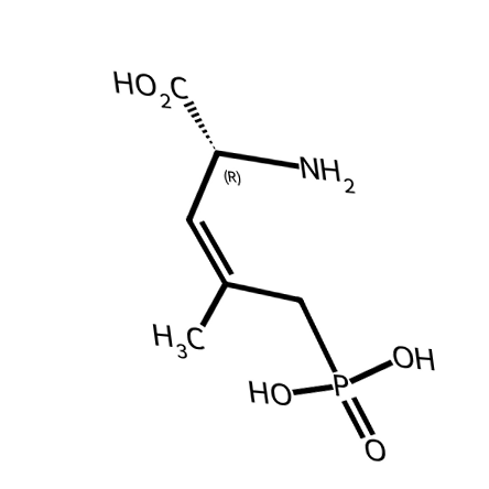 CC(=C[C@@H](N)C(=O)O)CP(=O)(O)O